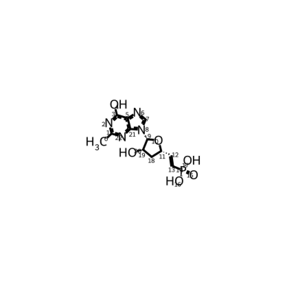 Cc1nc(O)c2ncn([C@@H]3O[C@H](/C=C/P(=O)(O)O)C[C@H]3O)c2n1